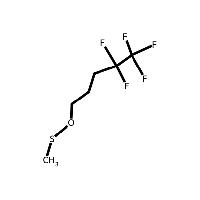 CSOCCCC(F)(F)C(F)(F)F